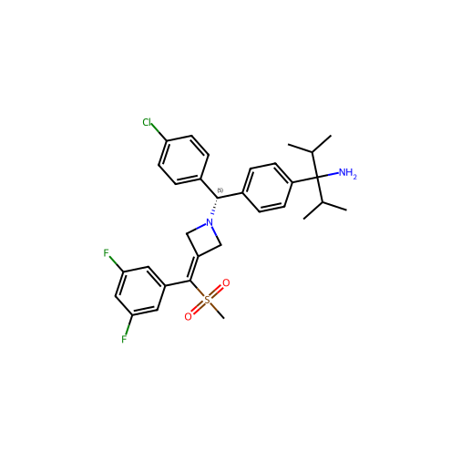 CC(C)C(N)(c1ccc([C@@H](c2ccc(Cl)cc2)N2CC(=C(c3cc(F)cc(F)c3)S(C)(=O)=O)C2)cc1)C(C)C